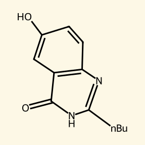 CCCCc1nc2ccc(O)cc2c(=O)[nH]1